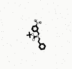 CC(C)(C)OC(=O)N(CCc1ccccc1)Cc1cccc([N+](=O)[O-])c1